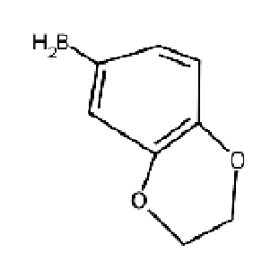 Bc1ccc2c(c1)OCCO2